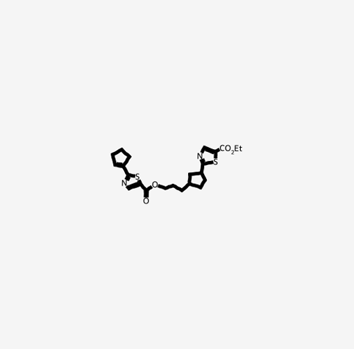 CCOC(=O)c1cnc(C2CCC(CCCOC(=O)c3cnc(C4=CCCC4)s3)C2)s1